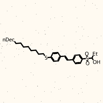 CCCCCCCCCCCCCCCCCCSc1ccc(C=Cc2ccc(S(=O)(=O)C(O)CC)cc2)cc1